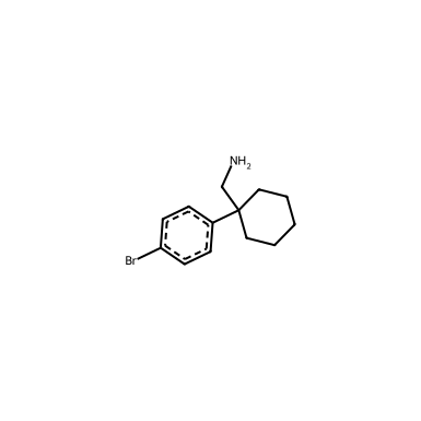 NCC1(c2ccc(Br)cc2)CCCCC1